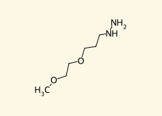 COCCOCCCNN